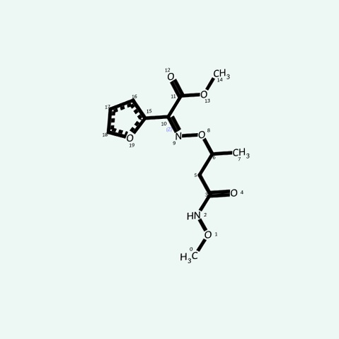 CONC(=O)CC(C)O/N=C(\C(=O)OC)c1ccco1